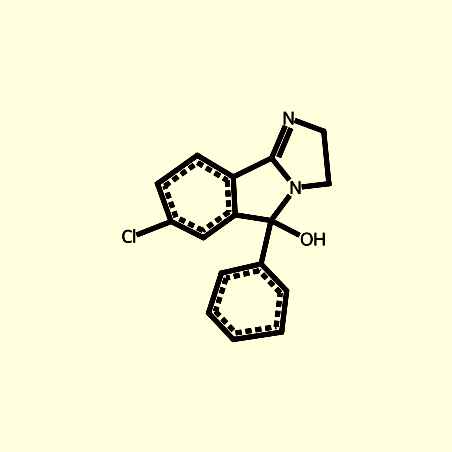 OC1(c2ccccc2)c2cc(Cl)ccc2C2=NCCN21